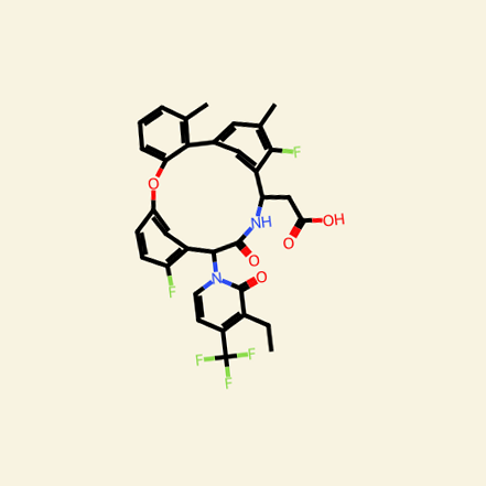 CCc1c(C(F)(F)F)ccn(C2C(=O)NC(CC(=O)O)c3cc(cc(C)c3F)-c3c(C)cccc3Oc3ccc(F)c2c3)c1=O